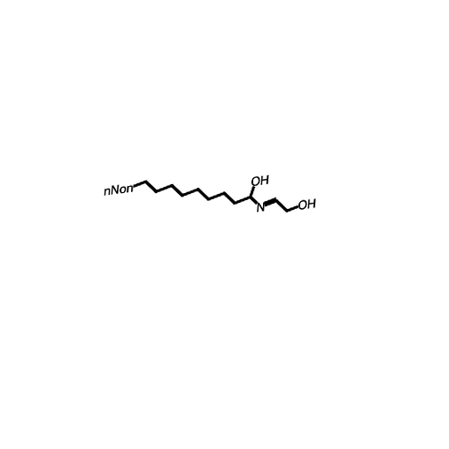 CCCCCCCCCCCCCCCCCC(O)N=CCO